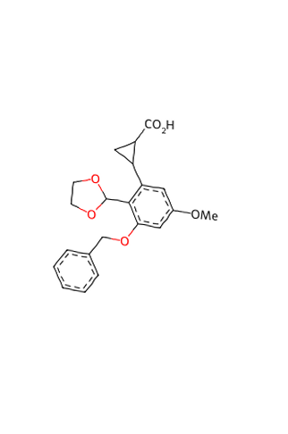 COc1cc(OCc2ccccc2)c(C2OCCO2)c(C2CC2C(=O)O)c1